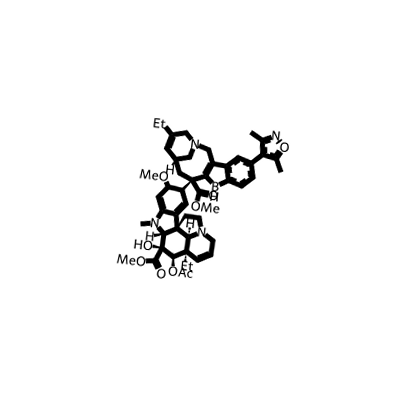 CCC1=C[C@H]2CN(C1)CC1=C(Bc3ccc(-c4c(C)noc4C)cc31)[C@@](C(=O)OC)(C1C=C3C(=CC1OC)N(C)[C@H]1[C@@](O)(C(=O)OC)[C@H](OC(C)=O)[C@]4(CC)C=CCN5CC[C@]31[C@@H]54)C2